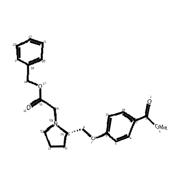 COC(=O)c1ccc(OC[C@@H]2CCCN2CC(=O)OCc2ccccc2)cc1